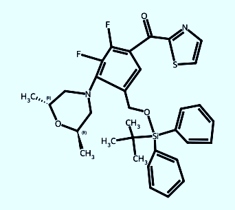 C[C@@H]1CN(c2c(CO[Si](c3ccccc3)(c3ccccc3)C(C)(C)C)cc(C(=O)c3nccs3)c(F)c2F)C[C@@H](C)O1